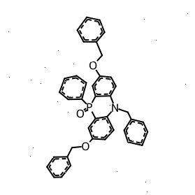 O=P1(c2ccccc2)c2cc(OCc3ccccc3)ccc2N(Cc2ccccc2)c2ccc(OCc3ccccc3)cc21